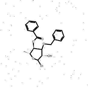 CCC1O[C@H](C)[C@@H](OC(=O)c2ccccc2)C(OCc2ccccc2)[C@@H]1O